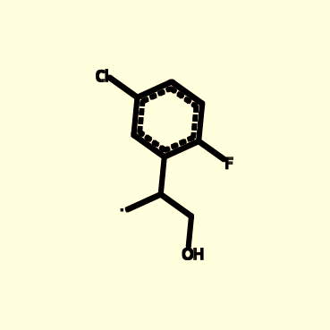 [CH2]C(CO)c1cc(Cl)ccc1F